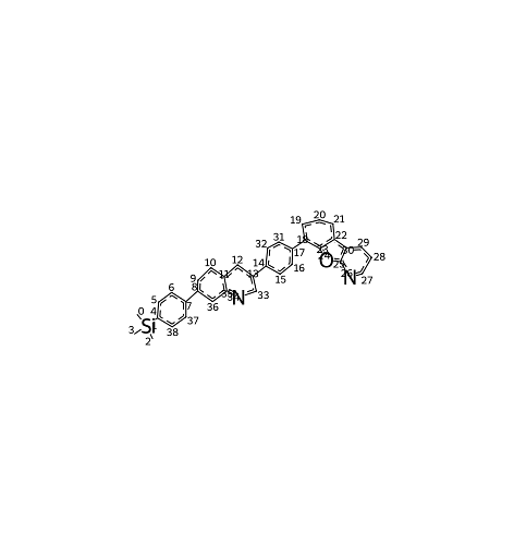 C[Si](C)(C)c1ccc(-c2ccc3cc(-c4ccc(-c5cccc6c5oc5ncccc56)cc4)cnc3c2)cc1